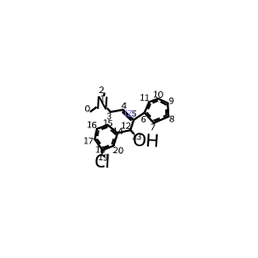 CN(C)C/C=C(/c1ccccc1)C(O)c1cccc(Cl)c1